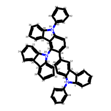 c1ccc(-n2c3ccccc3c3cc(-c4ccc5c(c4-n4c6ccccc6c6ccccc64)c4ccccc4n5-c4ccccc4)ccc32)cc1